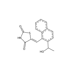 CC(O)c1ccc2ccccc2c1/C=C1\SC(=O)NC1=O